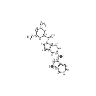 CC1CN(C(=O)c2nsc3cc(Nc4n[nH]c5cccnc45)ccc23)CC(C)O1